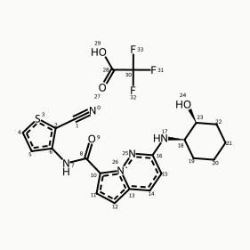 N#Cc1sccc1NC(=O)c1ccc2ccc(N[C@@H]3CCCC[C@@H]3O)nn12.O=C(O)C(F)(F)F